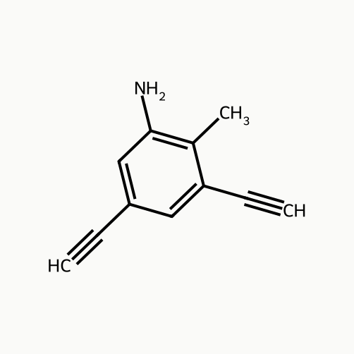 C#Cc1cc(N)c(C)c(C#C)c1